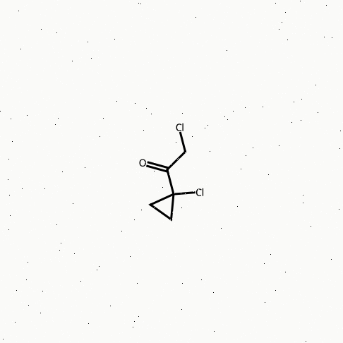 O=C(CCl)C1(Cl)CC1